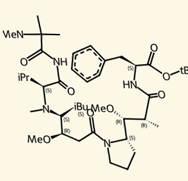 CC[C@H](C)[C@@H]([C@@H](CC(=O)N1CCC[C@H]1[C@H](OC)[C@@H](C)C(=O)N[C@@H](Cc1ccccc1)C(=O)OC(C)(C)C)OC)N(C)[C@H](C(=O)NC(=O)C(C)(C)NC)C(C)C